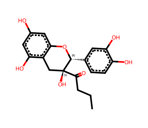 CCCC(=O)[C@]1(O)Cc2c(O)cc(O)cc2O[C@@H]1c1ccc(O)c(O)c1